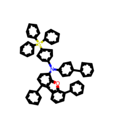 c1ccc(-c2ccc(N(c3ccc(S(c4ccccc4)(c4ccccc4)c4ccccc4)cc3)c3ccc(-c4ccccc4)c4c3oc3c(-c5ccccc5)cccc34)cc2)cc1